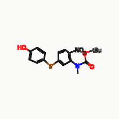 CN(C(=O)OC(C)(C)C)c1cc(Sc2ccc(O)cc2)ccc1[N+](=O)[O-]